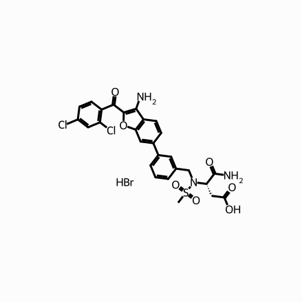 Br.CS(=O)(=O)N(Cc1cccc(-c2ccc3c(N)c(C(=O)c4ccc(Cl)cc4Cl)oc3c2)c1)[C@@H](CC(=O)O)C(N)=O